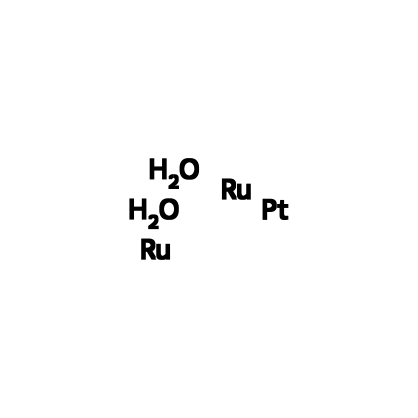 O.O.[Pt].[Ru].[Ru]